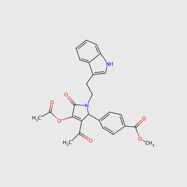 COC(=O)c1ccc(C2C(C(C)=O)=C(OC(C)=O)C(=O)N2CCc2c[nH]c3ccccc23)cc1